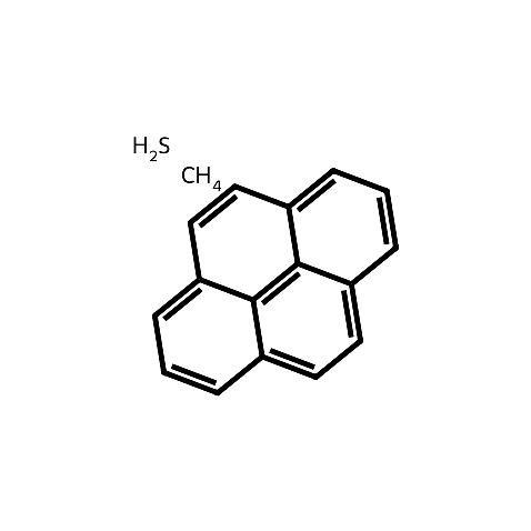 C.S.c1cc2ccc3cccc4ccc(c1)c2c34